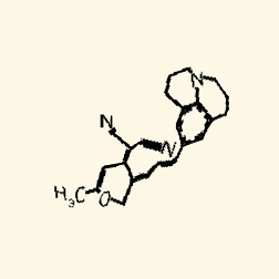 CC1=CC(=C(C#N)C#N)C(C/C=C/c2cc3c4c(c2)CCCN4CCC3)CO1